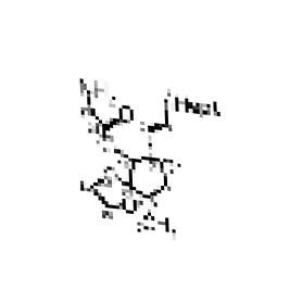 CCCCCCCC=C[C@@H]1OC[C@H](C)C2(OCCO2)[C@H]1OC(=O)CN